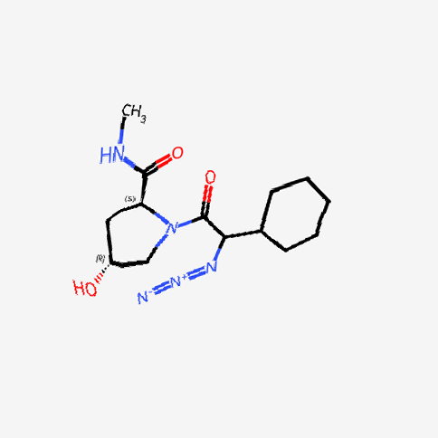 CNC(=O)[C@@H]1C[C@@H](O)CN1C(=O)C(N=[N+]=[N-])C1CCCCC1